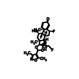 Cc1noc(C)c1C1O[C@@H]2C[C@H]3[C@@H]4C[C@H](F)C5=CC(=O)C=C[C@]5(C)[C@@]4(F)[C@@H](O)C[C@]3(C)[C@]2(C(=O)SCF)O1